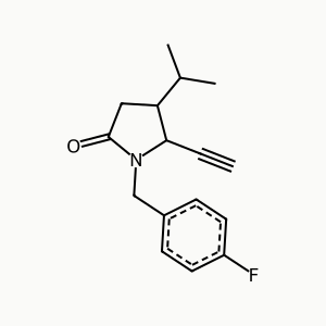 C#CC1C(C(C)C)CC(=O)N1Cc1ccc(F)cc1